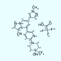 Cn1cc(-c2cc(-c3ccc(N4CCC(O)(C(F)(F)F)CC4)nc3)c3c(C#N)cnn3c2)cn1.O=C(O)C(F)(F)F